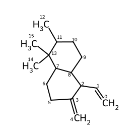 C=CC1C(=C)CCC2C1CCC(C)C2(C)C